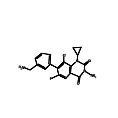 NCc1cccc(-c2c(F)cc3c(=O)n(N)c(=O)n(C4CC4)c3c2Cl)c1